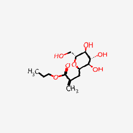 C=C(CC1O[C@H](CO)[C@@H](O)[C@H](O)[C@H]1O)C(=O)OCCC